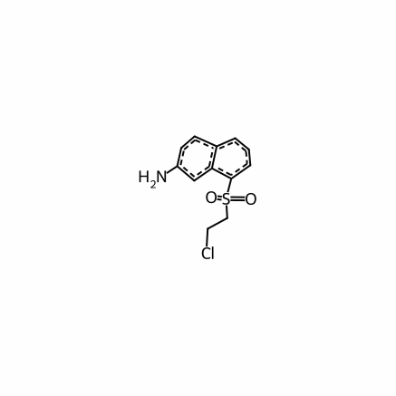 Nc1ccc2cccc(S(=O)(=O)CCCl)c2c1